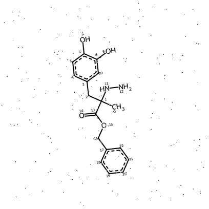 CC(Cc1ccc(O)c(O)c1)(NN)C(=O)OCc1ccccc1